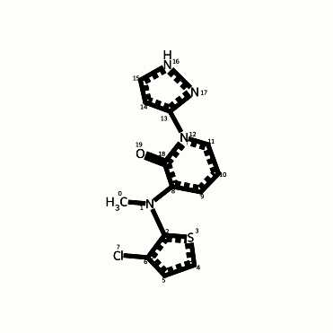 CN(c1sccc1Cl)c1cccn(-c2cc[nH]n2)c1=O